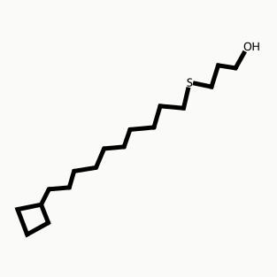 OCCCSCCCCCCCCCCC1CCC1